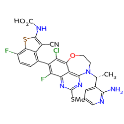 CSc1nc2c3c(c(Cl)c(-c4ccc(F)c5sc(NC(=O)O)c(C#N)c45)c(F)c3n1)OCCN2[C@H](C)c1cccnc1N